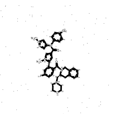 Cn1cc(N(C(=O)c2cc(-c3cc(F)ccc3C(=O)N3Cc4ccccc4C[C@H]3CN3CCOCC3)n(C)c2)c2ccc(O)cc2)cn1